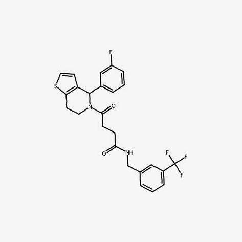 O=C(CCC(=O)N1CCc2sccc2C1c1cccc(F)c1)NCc1cccc(C(F)(F)F)c1